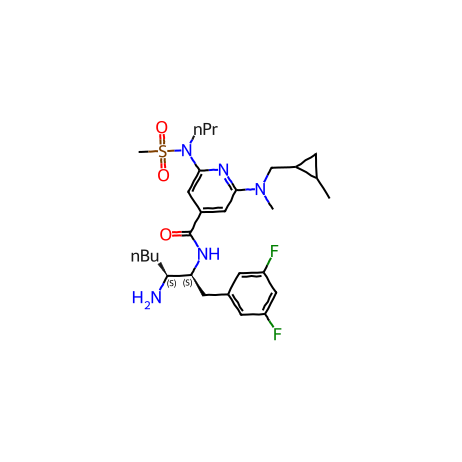 CCCC[C@H](N)[C@H](Cc1cc(F)cc(F)c1)NC(=O)c1cc(N(C)CC2CC2C)nc(N(CCC)S(C)(=O)=O)c1